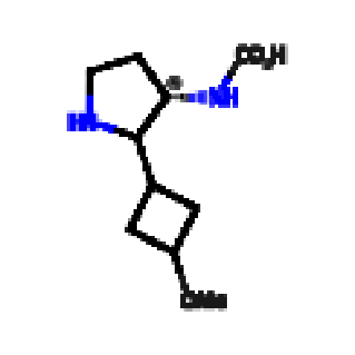 COC1CC(C2NCC[C@@H]2NC(=O)O)C1